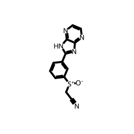 N#CC[S+]([O-])c1cccc(-c2nc3nccnc3[nH]2)c1